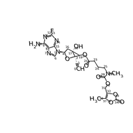 C#C[C@]12O[C@@H](n3cnc4c(N)nc(F)nc43)C[C@@]1(O)C2OC(=O)CCCN(C)C(=O)OCc1oc(=O)oc1C